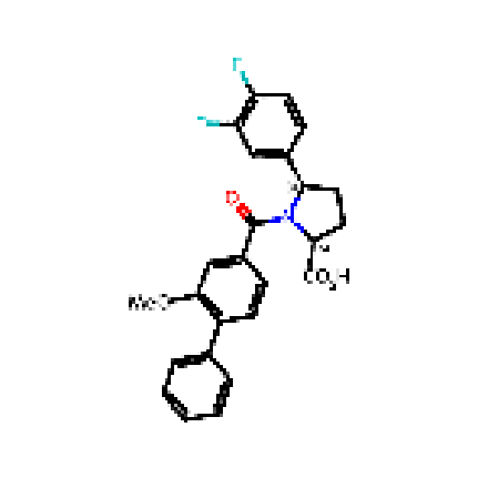 COc1cc(C(=O)N2[C@@H](c3ccc(F)c(F)c3)CC[C@H]2C(=O)O)ccc1-c1ccccc1